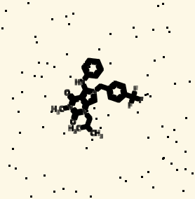 CC(C)Cn1c(=O)n(C)c(=O)c2c(Nc3ccccc3)n(Cc3ccc(C(F)(F)F)cc3)cc21